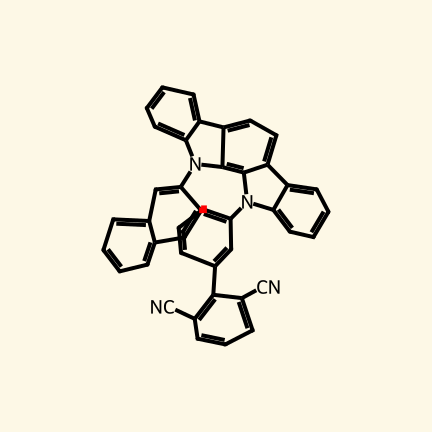 N#Cc1cccc(C#N)c1-c1cccc(-n2c3ccccc3c3ccc4c5ccccc5n(-c5ccc6ccccc6c5)c4c32)c1